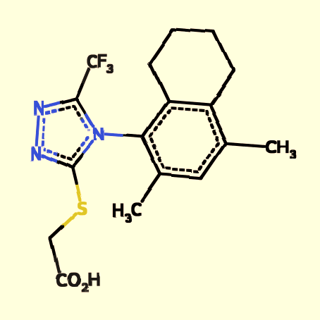 Cc1cc(C)c(-n2c(SCC(=O)O)nnc2C(F)(F)F)c2c1CCCC2